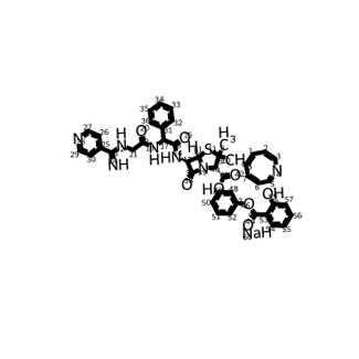 C1=CC=CN=CC=C1.CC1(C)S[C@@H]2[C@H](NC(=O)C(NC(=O)CNC(=N)c3ccncc3)c3ccccc3)C(=O)N2[C@H]1C(=O)O.O=C(Oc1ccccc1)c1ccccc1O.[NaH]